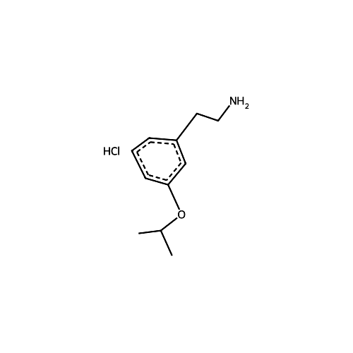 CC(C)Oc1cccc(CCN)c1.Cl